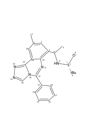 Cc1cc(C(C)N[S@+]([O-])C(C)(C)C)c2nc(-c3ccccc3)n3cnnc3c2c1